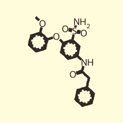 COc1ccccc1Oc1ccc(NC(=O)Cc2ccccc2)cc1S(N)(=O)=O